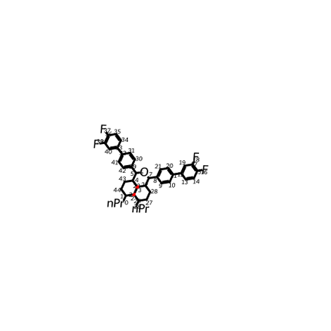 CCCC1CCC(C(OC(c2ccc(-c3ccc(F)c(F)c3)cc2)C2CCC(CCC)CC2)c2ccc(-c3ccc(F)c(F)c3)cc2)CC1